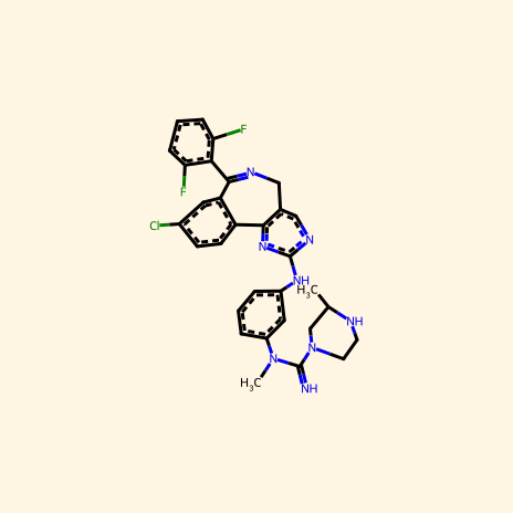 CC1CN(C(=N)N(C)c2cccc(Nc3ncc4c(n3)-c3ccc(Cl)cc3C(c3c(F)cccc3F)=NC4)c2)CCN1